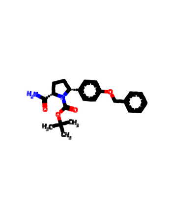 CC(C)(C)OC(=O)N1[C@@H](c2ccc(OCc3ccccc3)cc2)CC[C@H]1C(N)=O